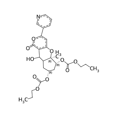 CCCOC(=O)O[C@@H]1CC2C(O)c3c(cc(-c4cccnc4)oc3=O)O[C@@]2(C)[C@H](OC(=O)OCCC)C1